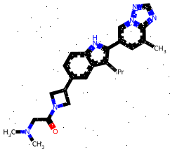 Cc1cc(-c2[nH]c3ccc(C4CN(C(=O)CN(C)C)C4)cc3c2C(C)C)cn2ncnc12